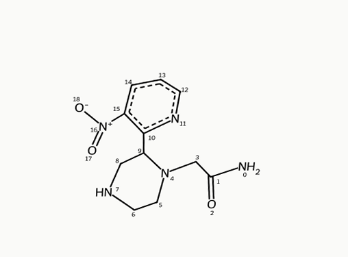 NC(=O)CN1CCNCC1c1ncccc1[N+](=O)[O-]